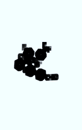 N#Cc1cccc(C#N)c1-c1c(-c2cccc(C34CCC(C=O)(CC3)CC4)c2)n([S+]([O-])c2ccc(C(F)F)cc2)c2ccc(F)cc12